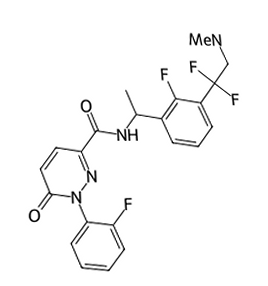 CNCC(F)(F)c1cccc(C(C)NC(=O)c2ccc(=O)n(-c3ccccc3F)n2)c1F